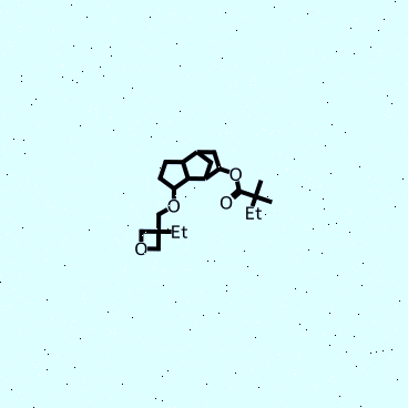 CCC1(COC2CCC3C4CC(OC(=O)C(C)(C)CC)C(C4)C23)COC1